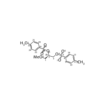 COC[C@H](COS(=O)(=O)c1ccc(C)cc1)OS(=O)(=O)c1ccc(C)cc1